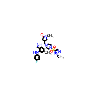 Cc1cc(Nc2ccc(F)cc2)c(C=N)cc1[C@H]1CN(S(=O)(=O)c2cnn(C)n2)CCN1CC1CC(=O)N(C)C1